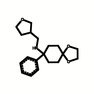 c1ccc(C2(NCC3CCOC3)CCC3(CC2)OCCO3)cc1